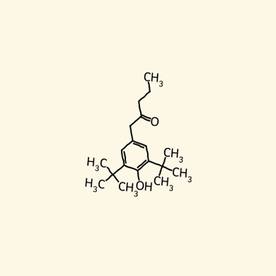 CCCC(=O)Cc1cc(C(C)(C)C)c(O)c(C(C)(C)C)c1